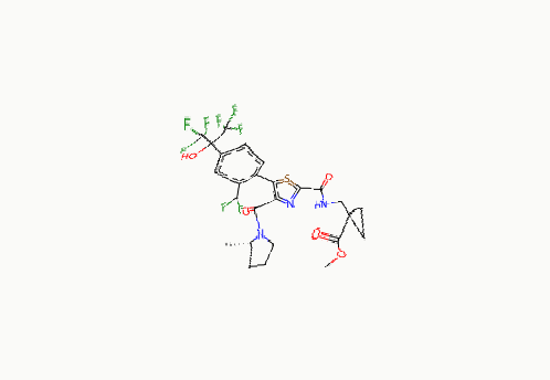 COC(=O)C1(CNC(=O)c2nc(C(=O)N3CCC[C@@H]3C)c(-c3ccc(C(O)(C(F)(F)F)C(F)(F)F)cc3C(F)F)s2)CC1